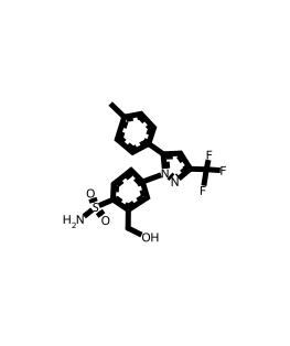 Cc1ccc(-c2cc(C(F)(F)F)nn2-c2ccc(S(N)(=O)=O)c(CO)c2)cc1